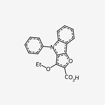 CCOc1c(C(=O)O)oc2c3ccccc3n(-c3ccccc3)c12